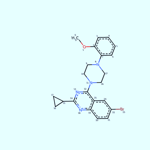 COc1ccccc1N1CCN(c2nc(C3CC3)nc3ccc(Br)cc23)CC1